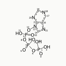 O=P(O)(O)OP(=O)(O)OP(=O)(O)On1cnc2cncnc21